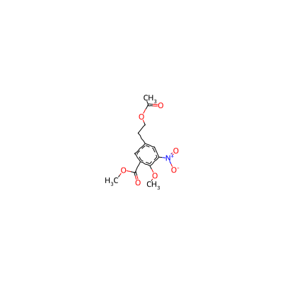 COC(=O)c1cc(CCOC(C)=O)cc([N+](=O)[O-])c1OC